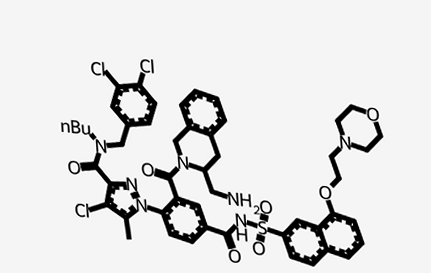 CCCCN(Cc1ccc(Cl)c(Cl)c1)C(=O)c1nn(-c2ccc(C(=O)NS(=O)(=O)c3ccc4cccc(OCCN5CCOCC5)c4c3)cc2C(=O)N2Cc3ccccc3CC2CN)c(C)c1Cl